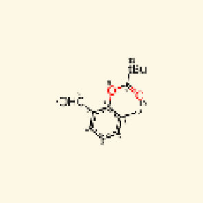 Cc1cccc([C]=O)c1OC(=O)C(C)(C)C